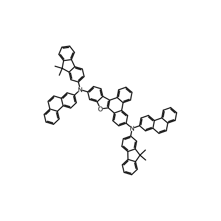 CC1(C)c2ccccc2-c2ccc(N(c3ccc4c(ccc5ccccc54)c3)c3ccc4c(c3)oc3c5ccc(N(c6ccc7c(c6)C(C)(C)c6ccccc6-7)c6ccc7c(ccc8ccccc87)c6)cc5c5ccccc5c43)cc21